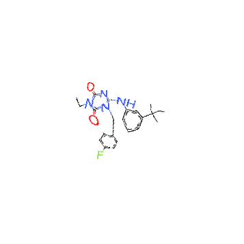 CCn1c(=O)nc(Nc2cccc(C(C)(C)C)c2)n(Cc2ccc(F)cc2)c1=O